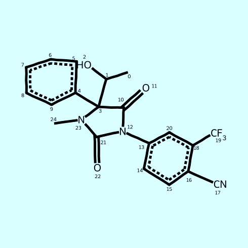 CC(O)C1(c2ccccc2)C(=O)N(c2ccc(C#N)c(C(F)(F)F)c2)C(=O)N1C